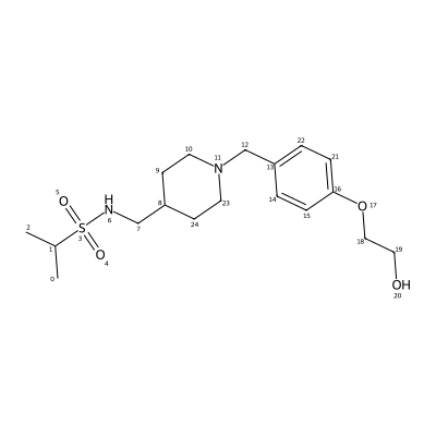 CC(C)S(=O)(=O)NCC1CCN(Cc2ccc(OCCO)cc2)CC1